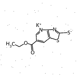 CCOC(=O)c1cnc2nc([S-])sc2c1.[K+]